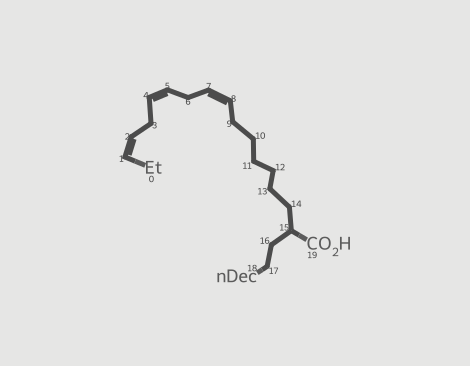 CC/C=C\C/C=C\C/C=C\CCCCCCC(CCCCCCCCCCCC)C(=O)O